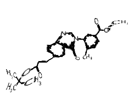 COC(=O)c1ccc(C)c(-n2cnc3ccc(C=CC(=O)OC(C)(C)C)cc3c2=O)c1